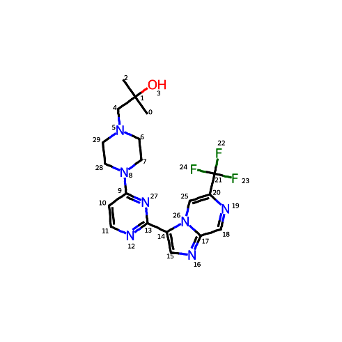 CC(C)(O)CN1CCN(c2ccnc(-c3cnc4cnc(C(F)(F)F)cn34)n2)CC1